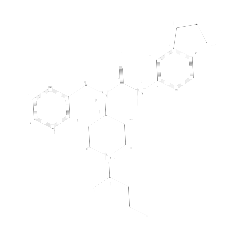 CCCC(C)N1CCC(N(Cc2ccccc2)C(=O)Nc2ccc3c(c2)CCC3)CC1